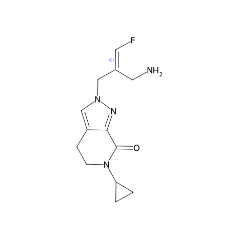 NC/C(=C\F)Cn1cc2c(n1)C(=O)N(C1CC1)CC2